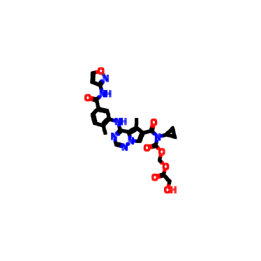 Cc1ccc(C(=O)Nc2ccon2)cc1Nc1ncnn2cc(C(=O)N(C(=O)OCOC(=O)CO)C3CC3)c(C)c12